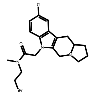 CC(C)CCN(C)C(=O)Cn1c2c(c3cc(Cl)ccc31)CC1CCCN1C2